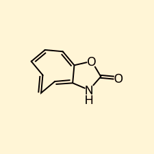 O=c1[nH]c2/c(o1)=C\C=C/C=C/C=2